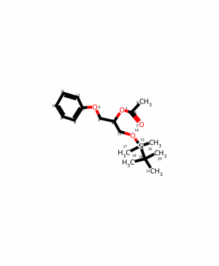 CC(=O)OC(COc1ccccc1)CO[Si](C)(C)C(C)(C)C